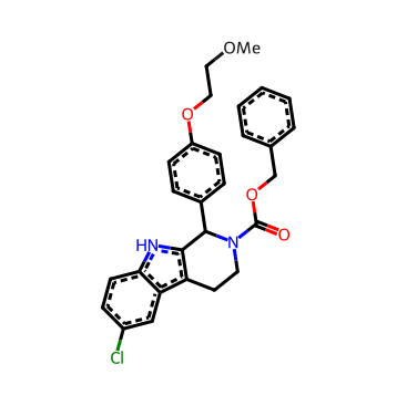 COCCOc1ccc(C2c3[nH]c4ccc(Cl)cc4c3CCN2C(=O)OCc2ccccc2)cc1